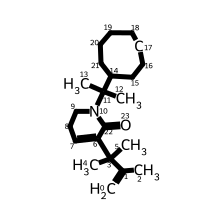 C=C(C)C(C)(C)C1=CCCN(C(C)(C)C2CCCCCCC2)C1=O